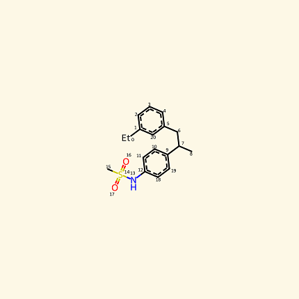 CCc1cccc(CC(C)c2ccc(NS(C)(=O)=O)cc2)c1